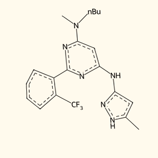 CCCCN(C)c1cc(Nc2cc(C)[nH]n2)nc(-c2ccccc2C(F)(F)F)n1